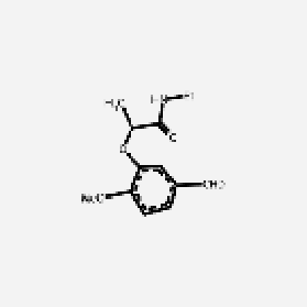 CCNC(=O)C(C)Oc1cc(C=O)ccc1OC